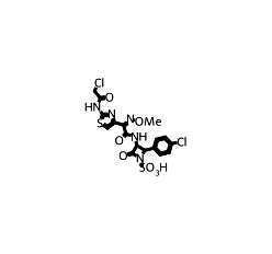 CON=C(C(=O)NC1C(=O)N(S(=O)(=O)O)C1c1ccc(Cl)cc1)c1csc(NC(=O)CCl)n1